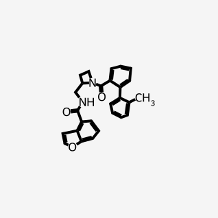 Cc1ccccc1-c1ccccc1C(=O)N1CCC1CNC(=O)c1cccc2occc12